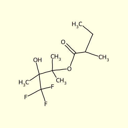 CCC(C)C(=O)OC(C)(C)C(C)(O)C(F)(F)F